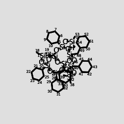 C[SiH](C)O[Si]1(C2CCCCC2)O[Si]2(C)O[Si](O[SiH](C)C)(C3CCCCC3)O[Si]3(C4CCCCC4)O[Si](O[SiH](C)C)(C4CCCCC4)O[Si](CC4CCCCC4)(O1)O[Si](C1CCCCC1)(O2)O3